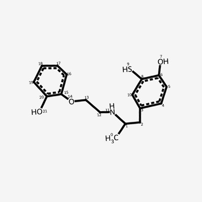 CC(Cc1ccc(O)c(S)c1)NCCOc1ccccc1O